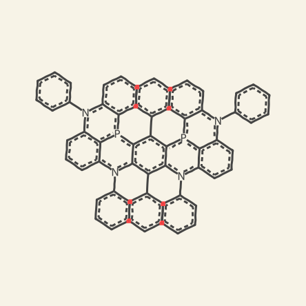 c1ccc(-c2c3c(c(-c4ccccc4)c4c2n(-c2ccccc2)c2cccc5c2p4c2ccccc2n5-c2ccccc2)p2c4ccccc4n(-c4ccccc4)c4cccc(c42)n3-c2ccccc2)cc1